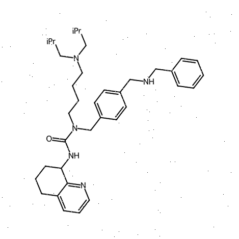 CC(C)CN(CCCCN(Cc1ccc(CNCc2ccccc2)cc1)C(=O)NC1CCCc2cccnc21)CC(C)C